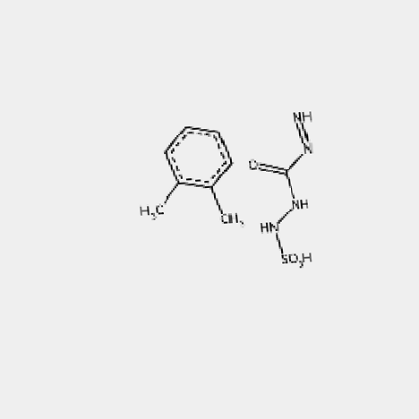 Cc1ccccc1C.N=NC(=O)NNS(=O)(=O)O